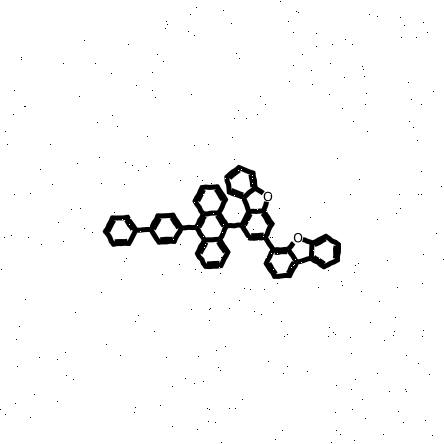 c1ccc(-c2ccc(-c3c4ccccc4c(-c4cc(-c5cccc6c5oc5ccccc56)cc5oc6ccccc6c45)c4ccccc34)cc2)cc1